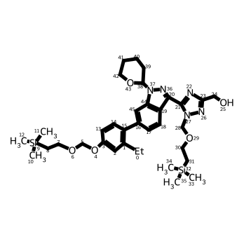 CCc1cc(OCOCC[Si](C)(C)C)ccc1-c1ccc2c(-c3nc(CO)nn3COCC[Si](C)(C)C)nn(C3CCCCO3)c2c1